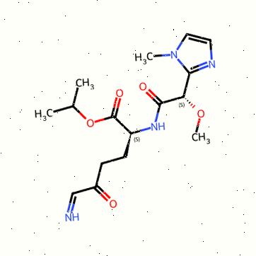 CO[C@H](C(=O)N[C@@H](CCC(=O)C=N)C(=O)OC(C)C)c1nccn1C